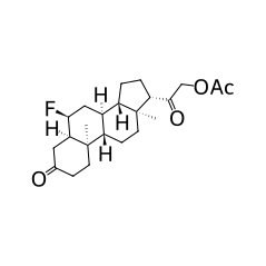 CC(=O)OCC(=O)[C@H]1CC[C@H]2[C@@H]3C[C@H](F)[C@@H]4CC(=O)CC[C@]4(C)[C@H]3CC[C@]12C